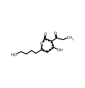 CCC(=O)c1c(O)cc(CCCCO)oc1=O